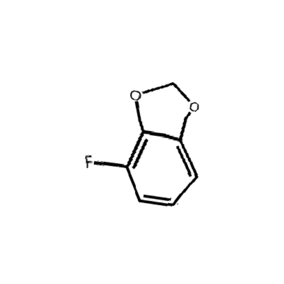 Fc1c[c]cc2c1OCO2